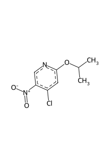 CC(C)Oc1cc(Cl)c([N+](=O)[O-])cn1